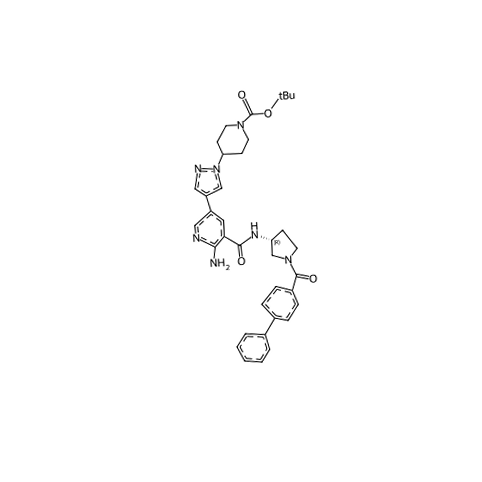 CC(C)(C)OC(=O)N1CCC(n2cc(-c3cnc(N)c(C(=O)N[C@@H]4CCN(C(=O)c5ccc(-c6ccccc6)cc5)C4)c3)cn2)CC1